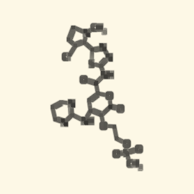 Cn1ccc(Cl)c1-c1nnc(NC(=O)c2cc(Nc3ncccn3)c(OCCOS(C)(=O)=O)c(=O)o2)s1